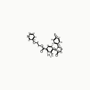 Cc1cc(C(=O)OCCOc2cccnc2)ccc1N1C(=O)CSC1c1ccc(F)cc1